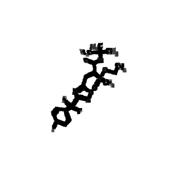 CCOP(C)(=O)C(Cc1nc(C(F)(F)c2ccc(I)cc2)no1)C(=O)OC(C)(C)C